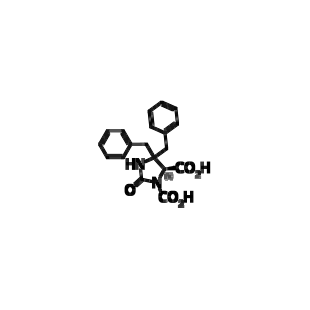 O=C(O)[C@H]1N(C(=O)O)C(=O)NC1(Cc1ccccc1)Cc1ccccc1